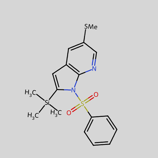 CSc1cnc2c(c1)cc([Si](C)(C)C)n2S(=O)(=O)c1ccccc1